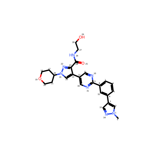 Cn1cc(-c2cccc(-c3ncc(-c4cn(C5CCOCC5)nc4C(=O)NCCO)cn3)c2)cn1